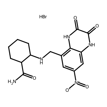 Br.NC(=O)C1CCCCC1NCc1cc([N+](=O)[O-])cc2[nH]c(=O)c(=O)[nH]c12